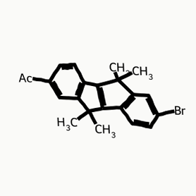 CC(=O)c1ccc2c(c1)C(C)(C)C1=C2C(C)(C)c2cc(Br)ccc21